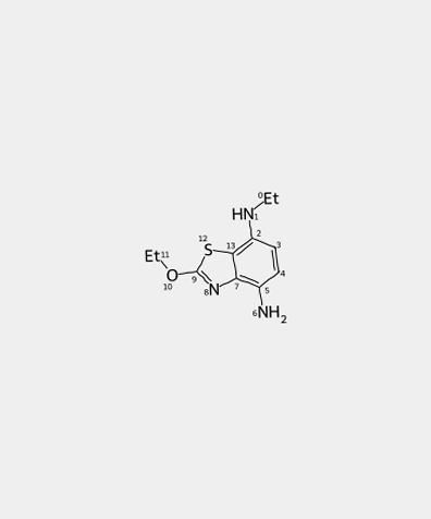 CCNc1ccc(N)c2nc(OCC)sc12